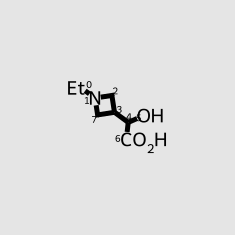 CCN1CC(C(O)C(=O)O)C1